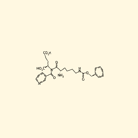 N[C@@H](CCCCNC(=O)OCc1ccccc1)C(=O)N(C(=O)c1cccnc1)[C@H](CCC(=O)O)C(=O)O